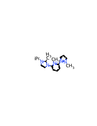 CC(C)N1C=CN(c2cccc(-[n+]3cccn3C)[n+]2C)[C@@H]1C